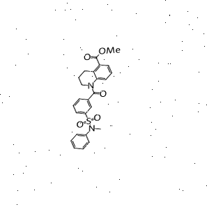 COC(=O)c1cccc2c1CCCN2C(=O)c1cccc(S(=O)(=O)N(C)c2ccccc2)c1